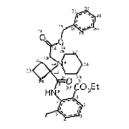 CCOC(=O)c1cccc(C)c1NC(=O)C1([N+]2(CC(=O)OCc3ccccc3)CCCCC2)CCC1